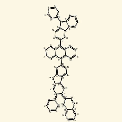 c1ccc(-n2c3ccccc3c3cc(-c4c5ccccc5c(-c5ccc6c(c5)sc5cc7c8ccccc8c8c9ccccc9ccc8c7cc56)c5ccccc45)ccc32)cc1